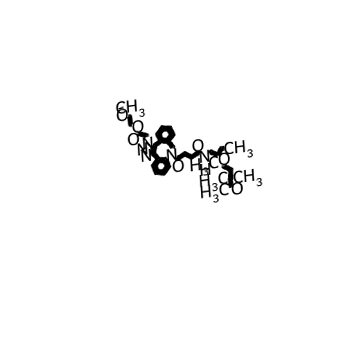 CCC(C)(CNC(=O)CCC(=O)N1Cc2ccccc2-c2c(nnn2CC(=O)OCCOC)-c2ccccc21)OCCC(C)(C)C(C)=O